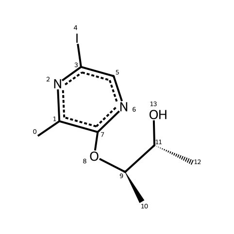 Cc1nc(I)cnc1O[C@H](C)[C@@H](C)O